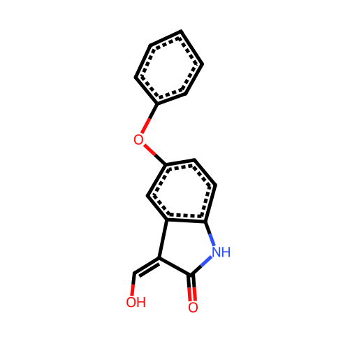 O=C1Nc2ccc(Oc3ccccc3)cc2C1=CO